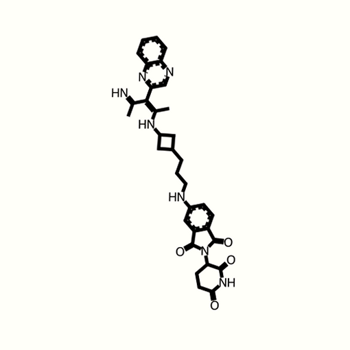 CC(=N)/C(=C(/C)NC1CC(CCCNc2ccc3c(c2)C(=O)N(C2CCC(=O)NC2=O)C3=O)C1)c1cnc2ccccc2n1